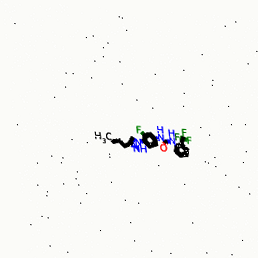 CCCCc1cn(-c2ccc(NC(=O)Nc3ccccc3C(F)(F)F)cc2F)[nH]1